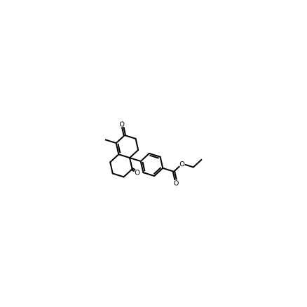 CCOC(=O)c1ccc(C23CCC(=O)C(C)=C2CCCC3=O)cc1